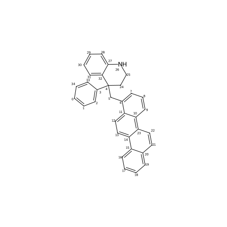 c1ccc(C2(Cc3cccc4c3ccc3c5ccccc5ccc43)CCNc3ccccc32)cc1